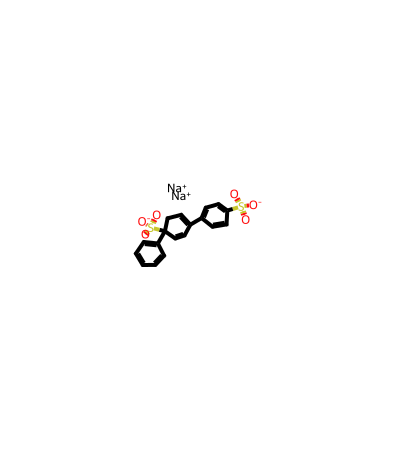 O=S(=O)([O-])c1ccc(C2=CCC(c3ccccc3)(S(=O)(=O)[O-])C=C2)cc1.[Na+].[Na+]